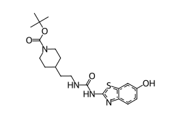 CC(C)(C)OC(=O)N1CCC(CCNC(=O)Nc2nc3ccc(O)cc3s2)CC1